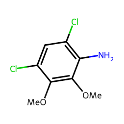 COc1c(Cl)cc(Cl)c(N)c1OC